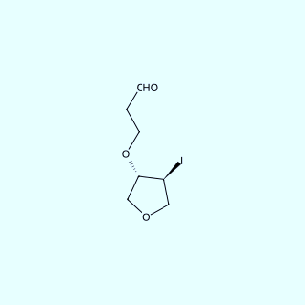 O=CCCO[C@H]1COC[C@@H]1I